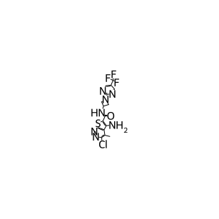 Cc1c(Cl)nnc2sc(C(=O)NC3CN(c4ncc(C(F)(F)F)cn4)C3)c(N)c12